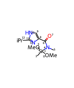 CO[Si](C)(OC)N(C)C(=O)c1c[nH]c(C(C)C)n1